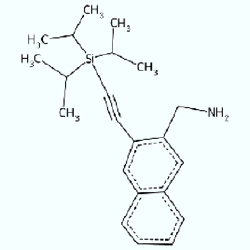 CC(C)[Si](C#Cc1cc2ccccc2cc1CN)(C(C)C)C(C)C